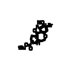 CC(C)(C)OC(=O)N1CCN2C(=O)c3c(cc(Br)c([N+](=O)[O-])c3F)OCC[C@@H]2C1